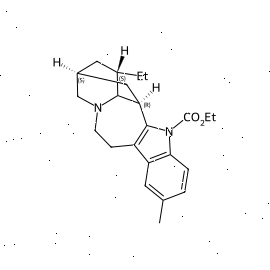 CCOC(=O)n1c2c(c3cc(C)ccc31)CCN1C[C@H]3C[C@H](CC)C1[C@H]2C3